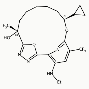 CCNc1cc(C(F)(F)F)c2nc1-c1nnc(o1)[C@@](O)(C(F)(F)F)CCCCC[C@@H](C1CC1)O2